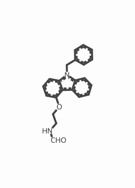 O=CNCCOc1cccc2c1c1ccccc1n2Cc1ccccc1